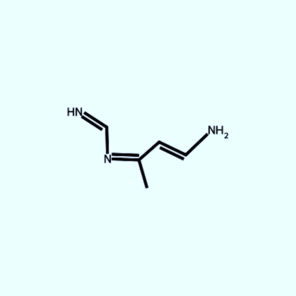 CC(/C=C/N)=N/C=N